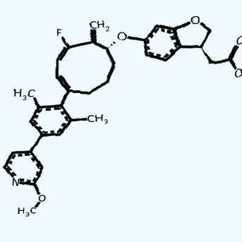 C=C1/C(F)=C\C=C(\c2c(C)cc(-c3ccnc(OC)c3)cc2C)CCC[C@H]1Oc1ccc2c(c1)OC[C@H]2CC(=O)O